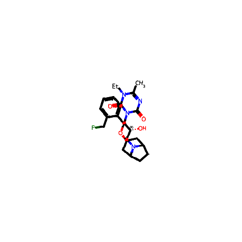 CCn1c(C)nc(=O)n(C[C@H](O)CN2C3CCC2CC(OCc2ccccc2CF)C3)c1=O